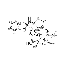 C=CN(C(=O)NC)[C@@H]1O[C@H](CO[P@](=O)(N[C@H]2CCOC2=O)Oc2ccccc2)[C@@H](O)C1(F)F